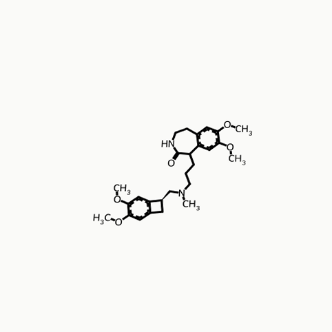 COc1cc2c(cc1OC)C(CCCN(C)C[C@H]1Cc3cc(OC)c(OC)cc31)C(=O)NCC2